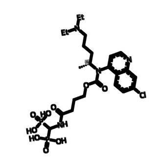 CCN(CC)CCC[C@@H](C)N(C(=O)OCCCC(=O)NC(P(=O)(O)O)P(=O)(O)O)c1ccnc2cc(Cl)ccc12